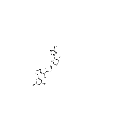 O=C(N1CCN(c2ncc(F)c(-n3cnc(Cl)n3)n2)CC1)N1N=CC[C@H]1c1cc(F)cc(F)c1